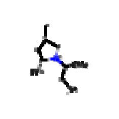 COC(CC(C)C)N1CC(C)C[C@H]1C(C)C